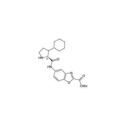 COC(=O)c1nc2cc(NC(=O)[C@H]3NCCC3C3CCCCC3)ccc2o1